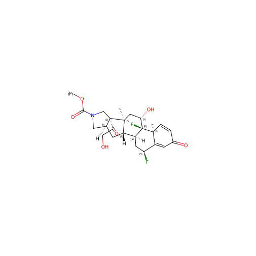 CC(C)OC(=O)N1C[C@@H]2C[C@H]3[C@@H]4C[C@H](F)C5=CC(=O)C=C[C@]5(C)[C@@]4(F)[C@@H](O)C[C@]3(C)[C@]2(C(=O)CO)C1